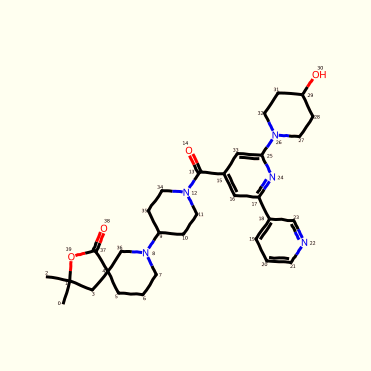 CC1(C)CC2(CCCN(C3CCN(C(=O)c4cc(-c5cccnc5)nc(N5CCC(O)CC5)c4)CC3)C2)C(=O)O1